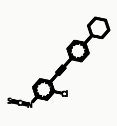 S=C=Nc1ccc(C#Cc2ccc(C3CCCCC3)cc2)c(Cl)c1